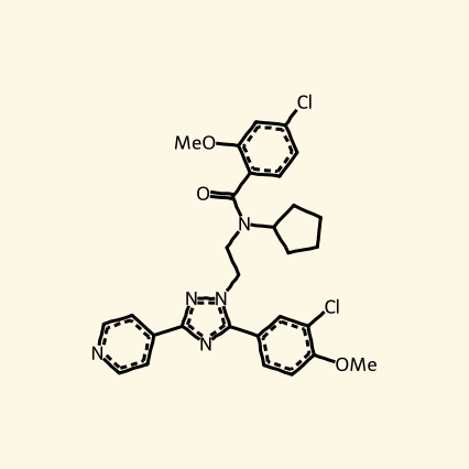 COc1ccc(-c2nc(-c3ccncc3)nn2CCN(C(=O)c2ccc(Cl)cc2OC)C2CCCC2)cc1Cl